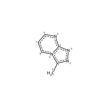 Cc1nnc2ncccn12